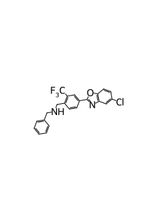 FC(F)(F)c1cc(-c2nc3cc(Cl)ccc3o2)ccc1CNCc1ccccc1